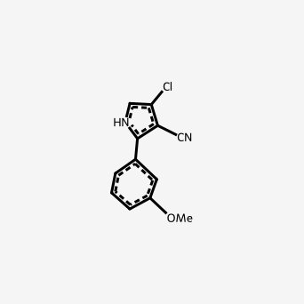 COc1cccc(-c2[nH]cc(Cl)c2C#N)c1